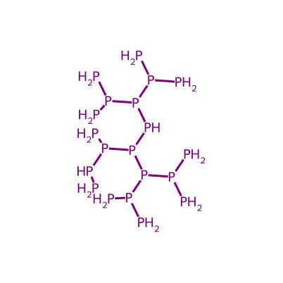 PPP(P)P(PP(P(P)P)P(P)P)P(P(P)P)P(P)P